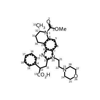 COC(=O)N1c2ccc3c(nc(CC(C(=O)O)c4ccccc4)n3CCN3CCOCC3)c2CC[C@@H]1C